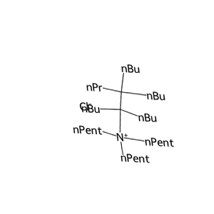 CCCCC[N+](CCCCC)(CCCCC)C(CCCC)(CCCC)C(CCC)(CCCC)CCCC.[Cl-]